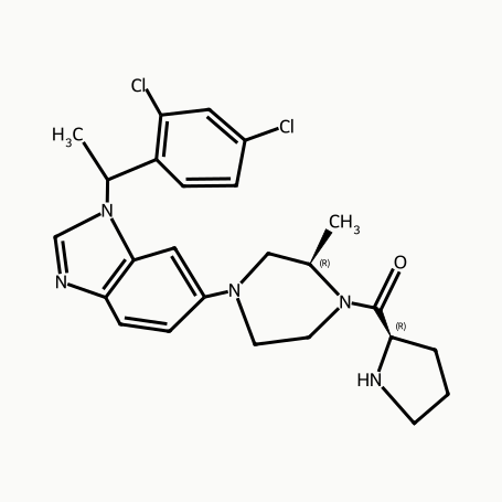 CC(c1ccc(Cl)cc1Cl)n1cnc2ccc(N3CCN(C(=O)[C@H]4CCCN4)[C@H](C)C3)cc21